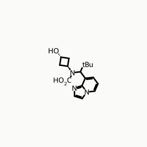 CC(C)(C)C(c1cccn2ccnc12)N(C(=O)O)[C@H]1C[C@H](O)C1